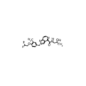 Cc1cc(Cn2cc3c(C(=O)NCC(C)O)nccc3n2)ccc1OCC(F)F